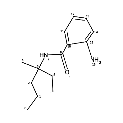 CCCC(C)(CC)NC(=O)c1ccccc1N